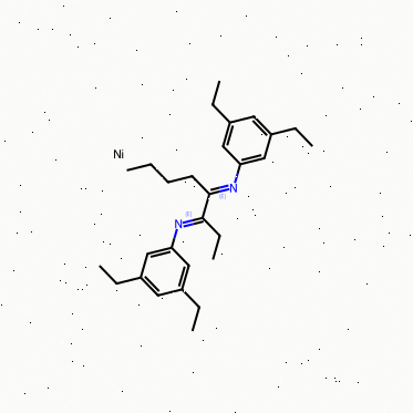 CCCCC(=N\c1cc(CC)cc(CC)c1)/C(CC)=N/c1cc(CC)cc(CC)c1.[Ni]